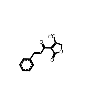 O=C(C=Cc1ccccc1)C1=C(O)COC1=O